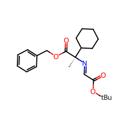 CC(C)(C)OC(=O)C=N[C@@](C)(C(=O)OCc1ccccc1)C1CCCCC1